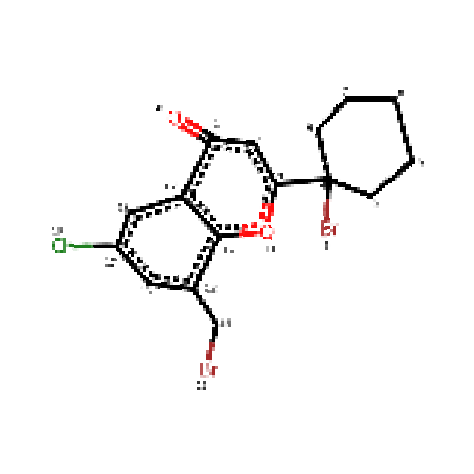 O=c1cc(C2(Br)CCCCC2)oc2c(CBr)cc(Cl)cc12